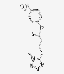 Cn1nnnc1CCCC(=S)Oc1ccc([N+](=O)[O-])cc1